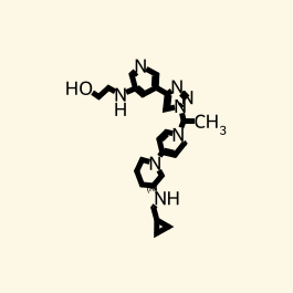 CC(N1C=CC(N2CCC[C@@H](NCC3CC3)C2)=CC1)n1cc(-c2cncc(NCCO)c2)nn1